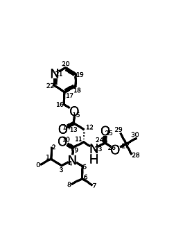 CC(C)CN(CC(C)C)C(=O)[C@H](CC(=O)OCc1cccnc1)NC(=O)OC(C)(C)C